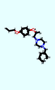 CCCOc1ccc(OC(C)CN2CCN(Cc3ccccc3)CC2)cc1